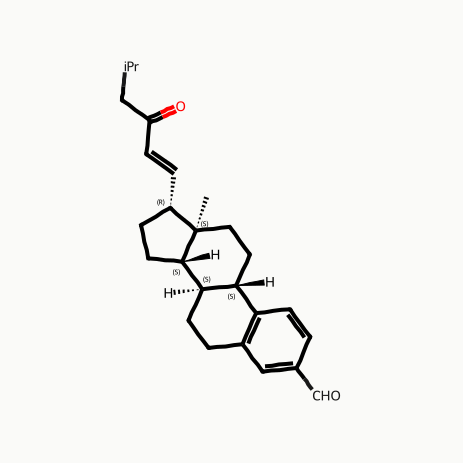 CC(C)CC(=O)C=C[C@H]1CC[C@H]2[C@@H]3CCc4cc(C=O)ccc4[C@H]3CC[C@]12C